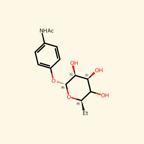 CC[C@H]1O[C@H](Oc2ccc(NC(C)=O)cc2)[C@@H](O)[C@@H](O)C1O